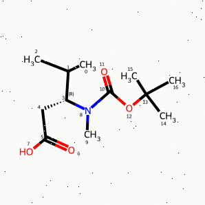 CC(C)[C@@H](CC(=O)O)N(C)C(=O)OC(C)(C)C